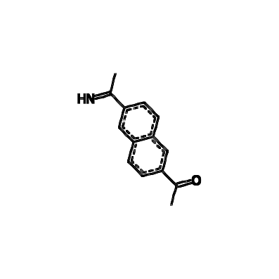 CC(=N)c1ccc2cc(C(C)=O)ccc2c1